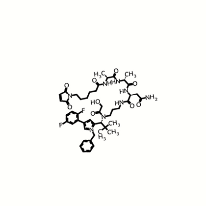 C[C@H](NC(=O)CCCCCN1C(=O)C=CC1=O)C(=O)N[C@H](C)C(=O)N[C@@H](CC(N)=O)C(=O)NCCCN(C(=O)CO)[C@@H](c1cc(-c2cc(F)ccc2F)cn1Cc1ccccc1)C(C)(C)C